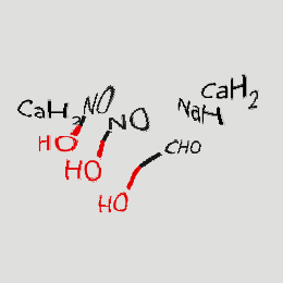 O=CO.O=NO.O=NO.[CaH2].[CaH2].[NaH]